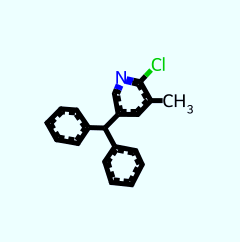 Cc1cc(C(c2ccccc2)c2ccccc2)cnc1Cl